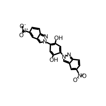 O=[N+]([O-])c1ccc2nn(-c3cc(O)c(-n4cc5cc([N+](=O)[O-])ccc5n4)cc3O)cc2c1